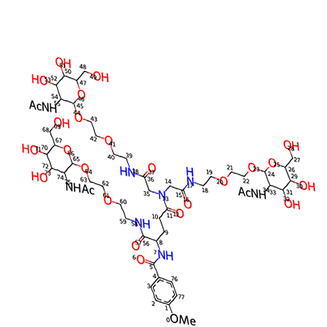 COc1ccc(C(=O)NC(CCC(=O)N(CC(=O)NCCOCCOC2OC(CO)C(O)C(O)C2NC(C)=O)CC(=O)NCCOCCOC2OC(CO)C(O)C(O)C2NC(C)=O)C(=O)NCCOCCOC2OC(CO)C(O)C(O)C2NC(C)=O)cc1